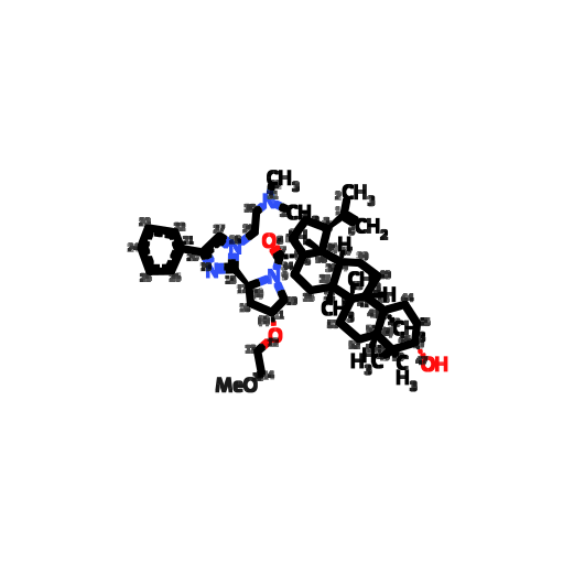 C=C(C)[C@@H]1CC[C@]2(C(=O)N3C[C@H](OCCOC)C[C@H]3c3nc(-c4ccccc4)cn3CCN(C)C)CC[C@]3(C)[C@H](CC[C@@H]4[C@@]5(C)CC[C@H](O)C(C)(C)[C@@H]5CC[C@]43C)[C@@H]12